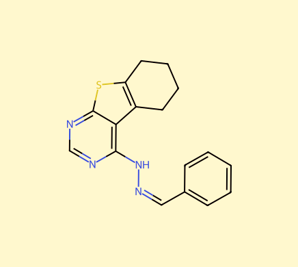 C(=N/Nc1ncnc2sc3c(c12)CCCC3)/c1ccccc1